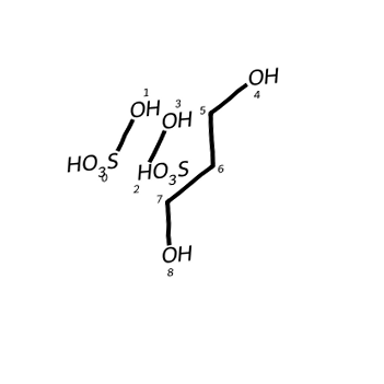 O=S(=O)(O)O.O=S(=O)(O)O.OCCCO